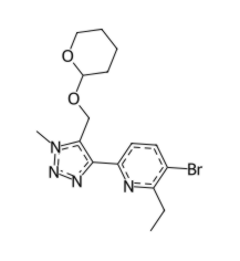 CCc1nc(-c2nnn(C)c2COC2CCCCO2)ccc1Br